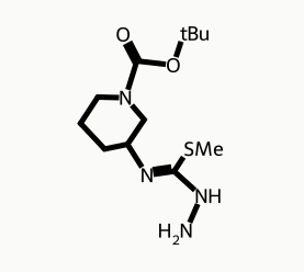 CS/C(=N\C1CCCN(C(=O)OC(C)(C)C)C1)NN